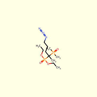 CCOP(=O)(OCC)C(C)(CCCN=[N+]=[N-])P(C)(C)=O